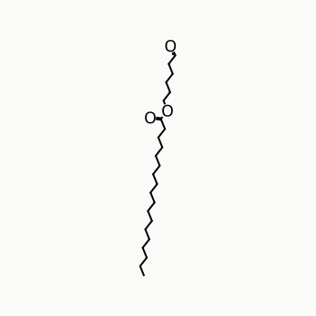 CCCCCCCCCCCCCCCCCC(=O)OCCCCCC=O